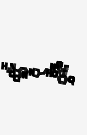 COc1cccc(C(O)(C(=O)N(C)CCCC2CCN(c3ccc(C(N)=O)c(Cl)n3)CC2)C(F)(F)F)c1